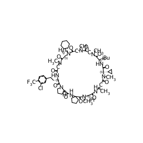 CC[C@H](C)[C@@H]1NC(=O)[C@H](C2CC2)N(C)C(=O)C[C@@H](C)NC(=O)[C@H](C(C)C)N(C)C(=O)C2(CCCC2)NC(=O)[C@@H]2CCCN2C(=O)[C@H](CCc2ccc(C(F)(F)F)c(Cl)c2)NC(=O)CN(C)C(=O)[C@H](CC2CCCCC2)N(C)C(=O)CN(C)C(=O)CN(C)C1=O